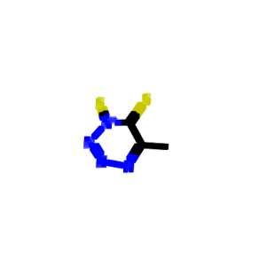 CC1=NN=N[N+](=S)C1=S